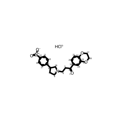 Cl.O=C(CCN1CCC(c2ccc([N+](=O)[O-])cc2)C1)c1ccc2c(c1)OCCO2